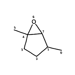 CC1CCC2(C)OC12